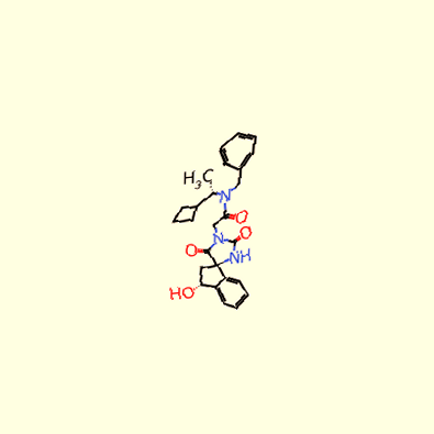 C[C@@H](C1CCC1)N(Cc1ccccc1)C(=O)CN1C(=O)NC2(C[C@@H](O)c3ccccc32)C1=O